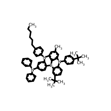 CCCCCCc1ccc(N2c3cc(N(c4ccccc4)c4ccccc4)ccc3B3c4cc(C(C)(C)C)ccc4N(c4ccc(C(C)(C)C)cc4)c4cc(C)cc2c43)cc1